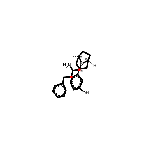 NC(CCc1ccccc1)CN1[C@@H]2CC[C@H]1C[C@@H](c1cccc(O)c1)C2